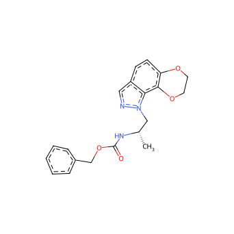 C[C@@H](Cn1ncc2ccc3c(c21)OCCO3)NC(=O)OCc1ccccc1